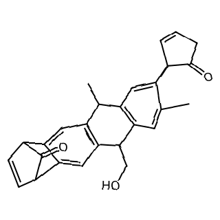 Cc1cc2c(cc1C1C=CCC1=O)C(C)c1cc3c(cc1C2CO)C1C=CC3C1=O